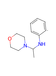 CC(Nc1[c]cccc1)N1CCOCC1